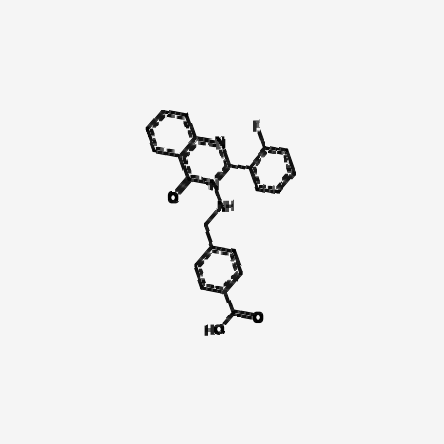 O=C(O)c1ccc(CNn2c(-c3ccccc3F)nc3ccccc3c2=O)cc1